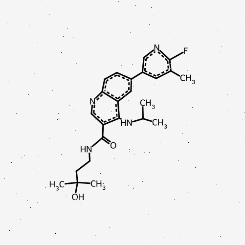 Cc1cc(-c2ccc3ncc(C(=O)NCCC(C)(C)O)c(NC(C)C)c3c2)cnc1F